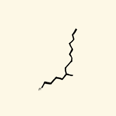 C=CCCCCCCC(C)CCCCC(C)C